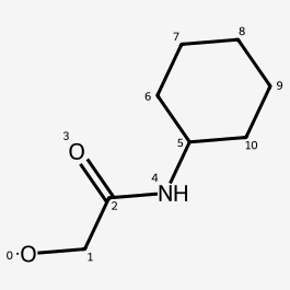 [O]CC(=O)NC1CCCCC1